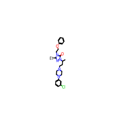 CCc1nn(C(C)CCN2CCN(c3cccc(Cl)c3)CC2)c(=O)n1CCOc1ccccc1